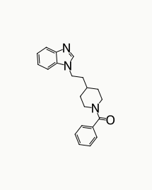 O=C(c1ccccc1)N1CCC(CCn2cnc3ccccc32)CC1